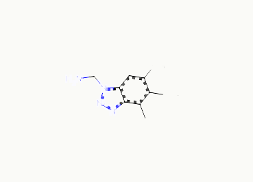 CCCCCCCCCCc1cc2c(nnn2CN)c(C)c1CCCCC